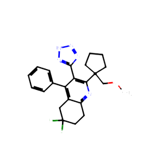 COCC1(c2nc3c(c(-c4ccccc4)c2-c2nn[nH]n2)CC(F)(F)CC3)CCCC1